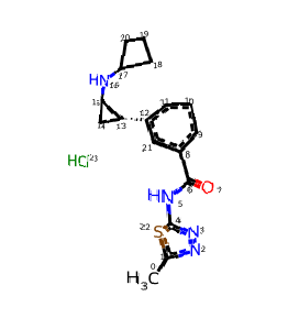 Cc1nnc(NC(=O)c2cccc([C@@H]3C[C@H]3NC3CCC3)c2)s1.Cl